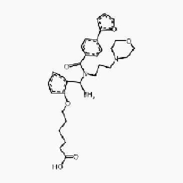 BC(c1ccccc1OCCCCCC(=O)O)N(CCCN1CCOCC1)C(=O)c1ccc(-c2ccco2)cc1